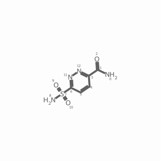 NC(=O)c1ccc(S(N)(=O)=O)nn1